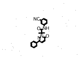 CC(C)(C(=O)Nc1cccc(C#N)c1)n1nc(-c2ccccc2)ccc1=O